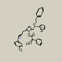 O=C(OC1N(C/C=C/c2ccc(Cl)cc2)C=CN1CC(OCCc1ccccc1)c1cccs1)[C@H](O)c1ccccc1